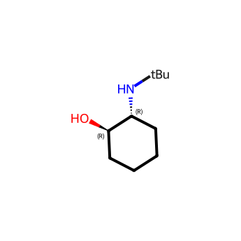 CC(C)(C)N[C@@H]1CCCC[C@H]1O